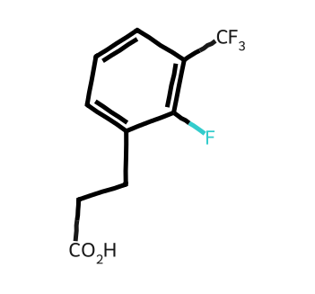 O=C(O)CCc1cccc(C(F)(F)F)c1F